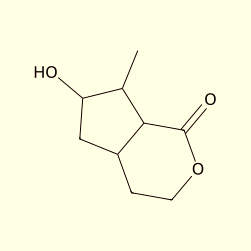 CC1C(O)CC2CCOC(=O)C21